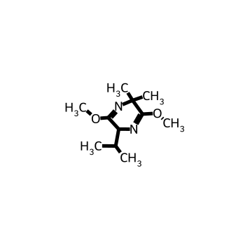 COC1=NC(C)(C)C(OC)=NC1C(C)C